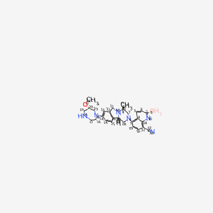 Bc1ccc2c(N3C[C@@H](C)N4Cc5cc(N6CCNCC(OC)C6)ccc5[C@H]4C3)ccc(C#N)c2n1